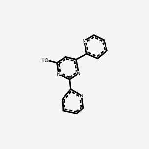 Oc1cc(-c2ccccn2)nc(-c2ccccn2)n1